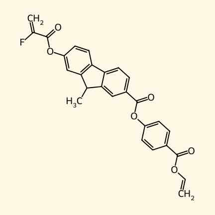 C=COC(=O)c1ccc(OC(=O)c2ccc3c(c2)C(C)c2cc(OC(=O)C(=C)F)ccc2-3)cc1